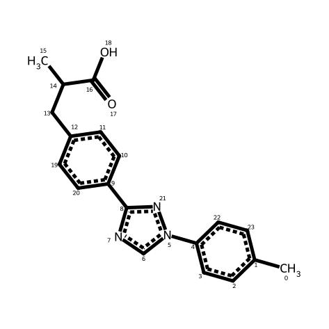 Cc1ccc(-n2cnc(-c3ccc(CC(C)C(=O)O)cc3)n2)cc1